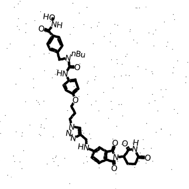 CCCCN(Cc1ccc(C(=O)NO)cc1)C(=O)Nc1ccc(OCCCn2cc(CNc3ccc4c(c3)C(=O)N(C3CCC(=O)NC3=O)C4=O)nn2)cc1